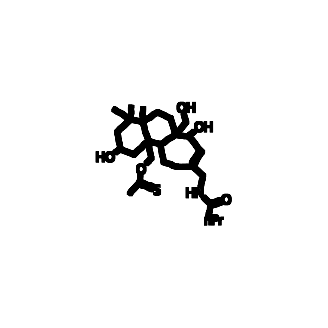 CCCC(=O)NCC1=CC(O)C2(CO)CCC3(C)C(C)(C)CC(O)CC3(COC(C)=S)C2CC1